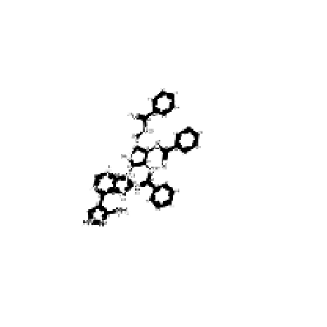 Nc1n[nH]cc1-c1ncnc2c1ncn2[C@@H]1O[C@H](COC(=O)c2ccccc2)[C@@H](OC(=O)c2ccccc2)[C@H]1OC(=O)c1ccccc1